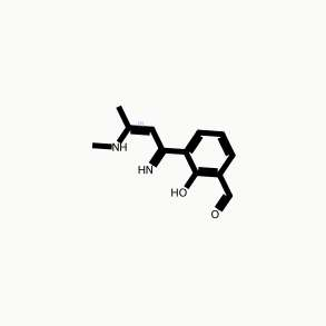 CN/C(C)=C\C(=N)c1cccc(C=O)c1O